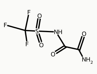 NC(=O)C(=O)NS(=O)(=O)C(F)(F)F